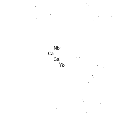 [Ca].[Ga].[Nb].[Yb]